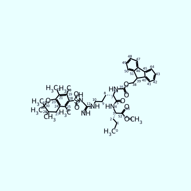 CCC[C@H](NC(=O)[C@H](CCCNC(=N)NS(=O)(=O)c1c(C)c(C)c2c(c1C)C[C@@H](C)C(C)(C)O2)NC(=O)OCC1c2ccccc2-c2ccccc21)C(=O)OC